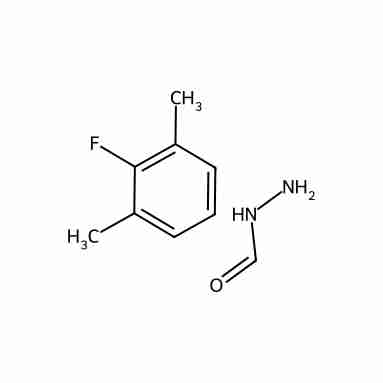 Cc1cccc(C)c1F.NNC=O